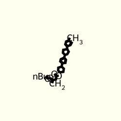 C=C(CC(=O)OC1CCC(c2ccc(C3CCC(c4ccc(C)cc4)CC3)cc2)CC1)OOCC[CH-][CH2+]